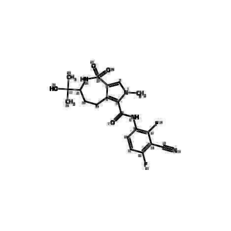 Cn1cc2c(c1C(=O)Nc1ccc(F)c(C#N)c1F)CCC(C(C)(C)O)NS2(=O)=O